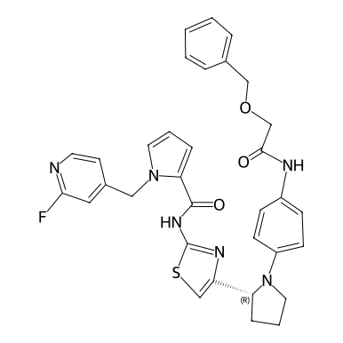 O=C(COCc1ccccc1)Nc1ccc(N2CCC[C@@H]2c2csc(NC(=O)c3cccn3Cc3ccnc(F)c3)n2)cc1